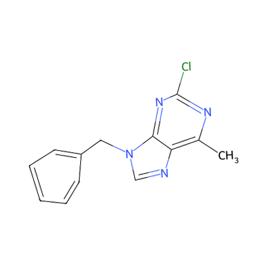 Cc1nc(Cl)nc2c1ncn2Cc1ccccc1